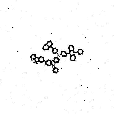 CC1(C)c2ccccc2-c2ccc(-c3ccc4c(c3)c3cc(N(c5ccc(-c6cccc7ccccc67)cc5)c5ccc(-c6c7ccccc7c(-c7ccccc7)c7ccccc67)cc5)ccc3n4-c3ccccc3)cc21